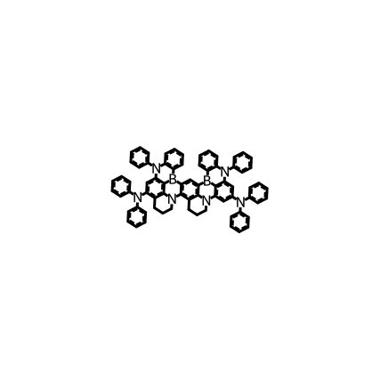 c1ccc(N(c2ccccc2)c2cc3c4c(c2)N(c2ccccc2)c2ccccc2B4c2cc4c(c5c2N3CCC5)N2CCCc3c(N(c5ccccc5)c5ccccc5)cc5c(c32)B4c2ccccc2N5c2ccccc2)cc1